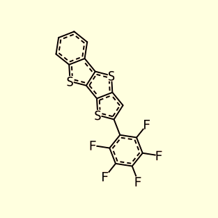 Fc1c(F)c(F)c(-c2cc3sc4c5ccccc5sc4c3s2)c(F)c1F